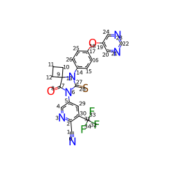 N#Cc1ncc(N2C(=O)C3(CCC3)N(c3ccc(Oc4cncnc4)cc3)C2=S)cc1C(F)(F)F